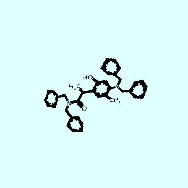 Cc1cc(C(C)C(=O)N(Cc2ccccc2)Cc2ccccc2)c(O)cc1N(Cc1ccccc1)Cc1ccccc1